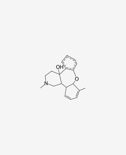 CC1=CC=CC2C1Oc1ccccc1C1(O)CCN(C)CC21